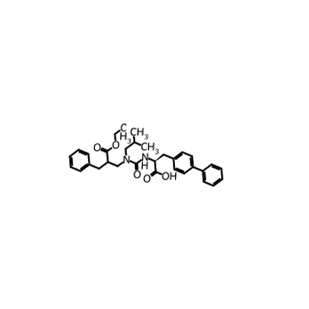 CCOC(=O)C(Cc1ccccc1)CN(CC(C)C)C(=O)N[C@@H](Cc1ccc(-c2ccccc2)cc1)C(=O)O